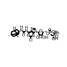 C[C@]12C[C@@H]3C[C@](C)(C1)C[C@@](NC(=O)Nc1nc(Cl)nc4c1ncn4[C@@H]1O[C@H](COP(=O)(O)CP(=O)(O)O)C(O)C1O)(C3)C2